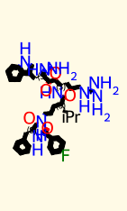 CC(C)C[C@H](CCCNC(=O)[C@H](Cc1ccccc1)NC(=O)c1ccc(F)cc1)C(=O)N[C@@H](CCCNC(N)N)C(=O)C(=O)[C@H](Cc1c[nH]c2ccccc12)NN